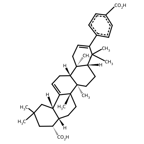 CC1(C)C[C@@H]2C3=CC[C@@H]4[C@@]5(C)CC=C(c6ccc(C(=O)O)cc6)C(C)(C)[C@@H]5CC[C@@]4(C)[C@]3(C)CC[C@@H]2[C@H](C(=O)O)C1